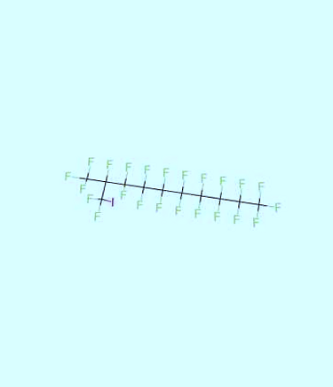 FC(F)(F)C(F)(F)C(F)(F)C(F)(F)C(F)(F)C(F)(F)C(F)(F)C(F)(F)C(F)(C(F)(F)F)C(F)(F)I